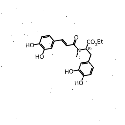 CCOC(=O)[C@@H](Cc1ccc(O)c(O)c1)N(C)C(=O)C=Cc1ccc(O)c(O)c1